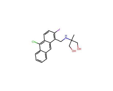 CC(CO)(CO)NCc1c(I)ccc2c(Cl)c3ccccc3cc12